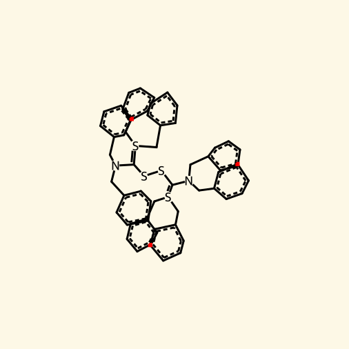 c1ccc(CN(Cc2ccccc2)C(SSC(N(Cc2ccccc2)Cc2ccccc2)=S(Cc2ccccc2)Cc2ccccc2)=S(Cc2ccccc2)Cc2ccccc2)cc1